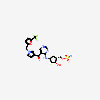 NS(=O)(=O)OC[C@H]1C[C@@H](NC2NC=NC=C2C(=O)c2ccn(Cc3ccc(C(F)(F)F)o3)c2)[C@@H](F)[C@@H]1O